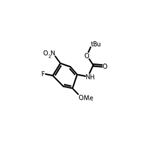 COc1cc(F)c([N+](=O)[O-])cc1NC(=O)OC(C)(C)C